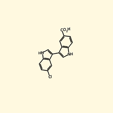 O=C(O)c1ccc2[nH]cc(-c3c[nH]c4ccc(Cl)cc34)c2c1